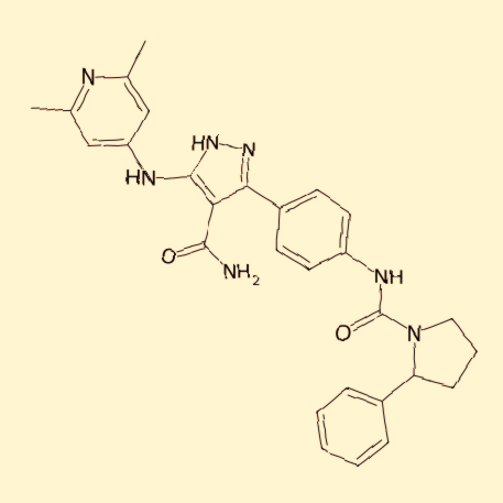 Cc1cc(Nc2[nH]nc(-c3ccc(NC(=O)N4CCCC4c4ccccc4)cc3)c2C(N)=O)cc(C)n1